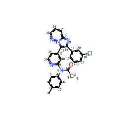 Cc1ccc(N(C(=O)C(F)(F)F)c2cc(-c3c(-c4cccc(Cl)c4)nc4cccnn34)ccn2)cc1